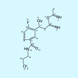 CC(=N)OC(=N)CC(O)c1cc(C(=O)NCCC(F)(F)F)ccc1F